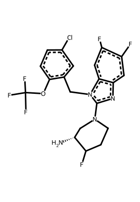 N[C@@H]1CN(c2nc3cc(F)c(F)cc3n2Cc2cc(Cl)ccc2OC(F)(F)F)CCC1F